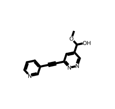 COC(O)c1cnnc(C#Cc2cccnc2)c1